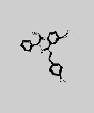 C=C(NC)[C@H](N[C@H](CCc1ccc(C(F)(F)F)cc1)c1cccc(OC(F)(F)F)c1)c1ccccc1